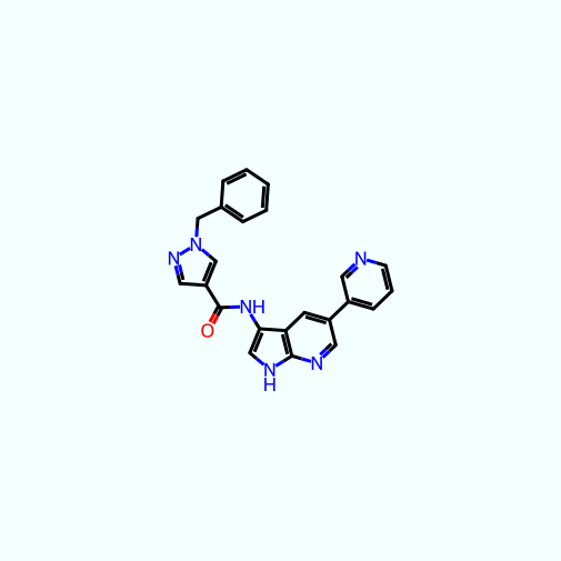 O=C(Nc1c[nH]c2ncc(-c3cccnc3)cc12)c1cnn(Cc2ccccc2)c1